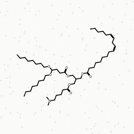 CCCCC/C=C\C/C=C\CCCCCCCC(=O)OCC(COC(=O)CCCCN(C)C)COC(=O)CCC(OCCCCCCCC)OCCCCCCCC